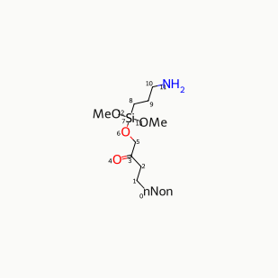 CCCCCCCCCCCC(=O)CO[Si](CCCN)(OC)OC